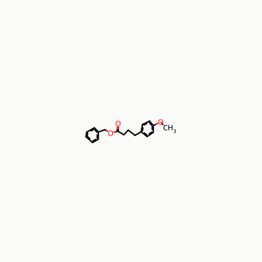 COc1ccc(CCCC(=O)OCc2ccccc2)cc1